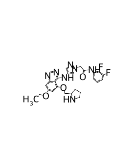 CCOc1cc(OC[C@H]2CCCN2)c2c(Nc3cnn(CC(=O)Nc4cccc(F)c4F)c3)ncnc2c1